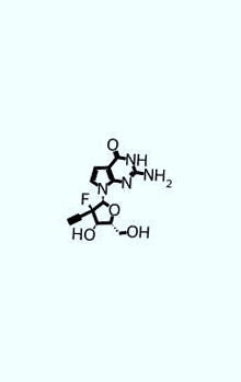 C#C[C@@]1(F)[C@@H](O)[C@@H](CO)O[C@H]1n1ccc2c(=O)[nH]c(N)nc21